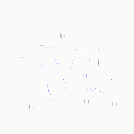 CCc1cc(CC)n([C](n2nc(CC)cc2CC)(n2nc(CC)cc2CC)[Ti]([I])([I])[I])n1